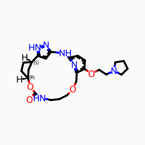 O=C1NCCCOCc2nc(ccc2OCCN2CCCC2)Nc2cc([nH]n2)[C@H]2CC[C@H](C2)O1